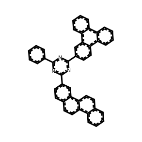 c1ccc(-c2nc(-c3ccc4ccc5c6ccccc6ccc5c4c3)nc(-c3ccc4c5ccccc5c5ccccc5c4c3)n2)cc1